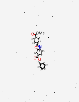 COC(=O)C1CCC(c2nc3c(o2)CC(C(=O)OCc2ccccc2)CC3)CC1